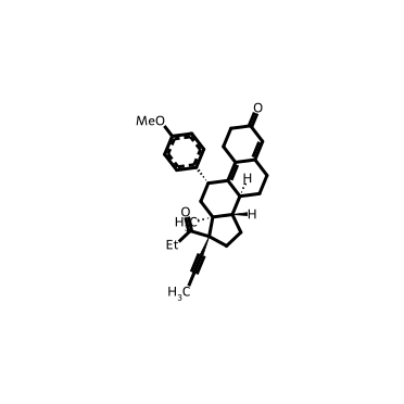 CC#C[C@]1(C(=O)CC)CC[C@H]2[C@@H]3CCC4=CC(=O)CCC4=C3[C@@H](c3ccc(OC)cc3)C[C@@]21C